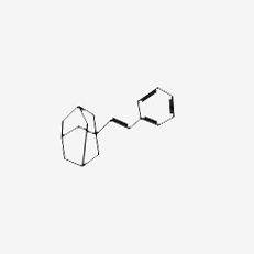 C(=CC12CC3CC(CC(C3)C1)C2)c1ccccc1